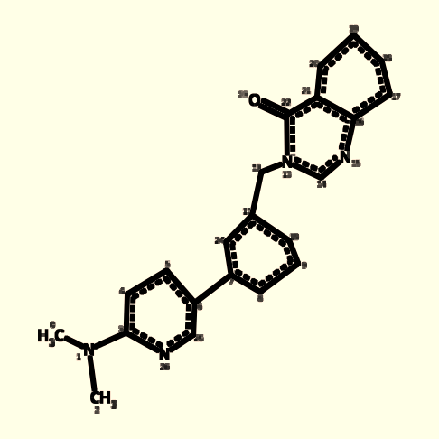 CN(C)c1ccc(-c2cccc(Cn3cnc4ccccc4c3=O)c2)cn1